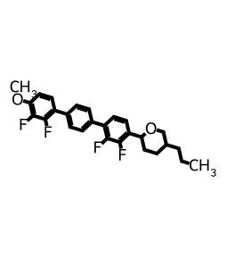 CCCC1CCC(c2ccc(-c3ccc(-c4ccc(OC)c(F)c4F)cc3)c(F)c2F)OC1